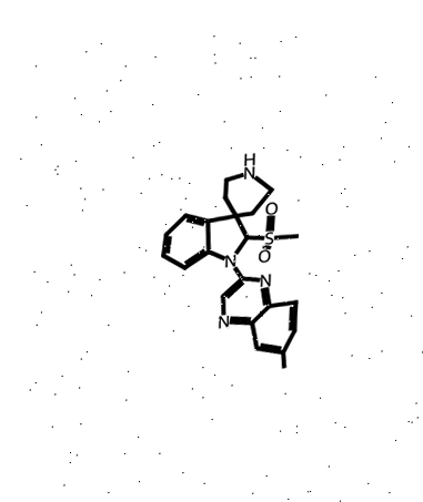 Cc1ccc2nc(N3c4ccccc4C4(CCNCC4)C3S(C)(=O)=O)cnc2c1